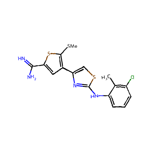 CSc1sc(C(=N)N)cc1-c1csc(Nc2cccc(Cl)c2C)n1